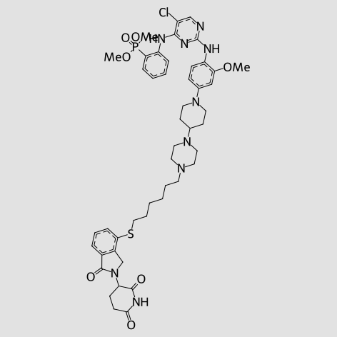 COc1cc(N2CCC(N3CCN(CCCCCCSc4cccc5c4CN(C4CCC(=O)NC4=O)C5=O)CC3)CC2)ccc1Nc1ncc(Cl)c(Nc2ccccc2P(=O)(OC)OC)n1